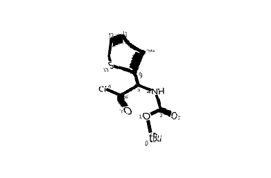 CC(C)(C)OC(=O)NC(C(=O)Cl)c1cccs1